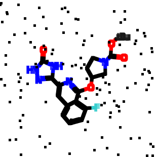 CC(C)(C)OC(=O)N1CCC(Oc2nc(-c3n[nH]c(=O)[nH]3)cc3cccc(F)c23)C1